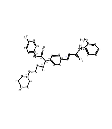 Nc1ccccc1NC(=O)/C=C/C1C=CC(C(NCCCN2CCOCC2)C(=O)Nc2ccc(Br)cc2)=CC1